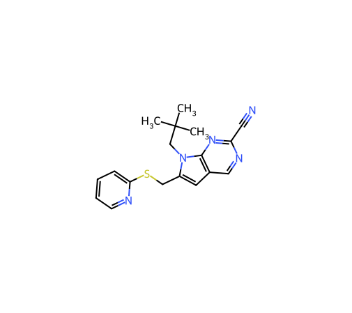 CC(C)(C)Cn1c(CSc2ccccn2)cc2cnc(C#N)nc21